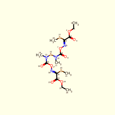 CCOC(=O)C(=NOC(=O)N(C)SN(C)C(=O)ON=C(SC)C(=O)OCC)SC